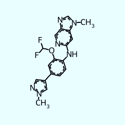 Cn1cc(-c2ccc(Nc3cc4c(cn3)ncn4C)c(OC(F)F)c2)cn1